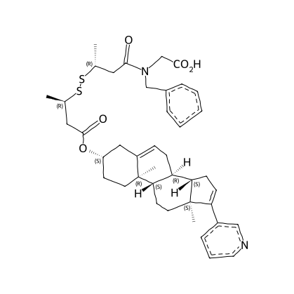 C[C@H](CC(=O)O[C@H]1CC[C@@]2(C)C(=CC[C@@H]3[C@@H]2CC[C@]2(C)C(c4cccnc4)=CC[C@@H]32)C1)SS[C@H](C)CC(=O)N(CC(=O)O)Cc1ccccc1